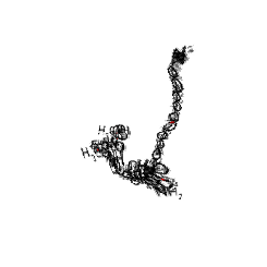 CC[C@@]1(O)C(=O)OCc2c1cc1n(c2=O)Cc2c-1nc1cc(F)c(C)c3c1c2[C@@H](NC(=O)OCc1ccc(NC(=O)[C@H](CCCCN)NC(=O)[C@H](Cc2ccccc2)NC(=O)CCOCCOCCOCCOCCOCCOCCOCCOCCOCCN=[N+]=[N-])c(C)c1)CC3